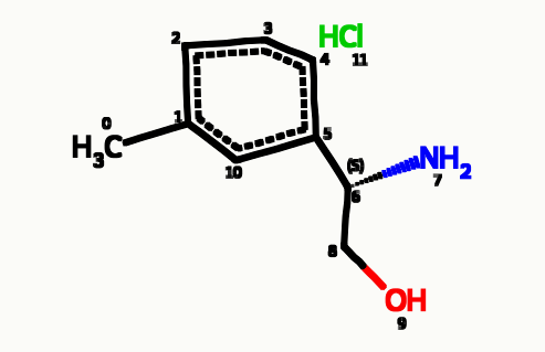 Cc1cccc([C@H](N)CO)c1.Cl